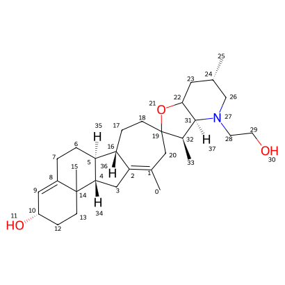 CC1=C2C[C@H]3[C@@H](CCC4=C[C@@H](O)CCC43C)[C@@H]2CCC2(C1)OC1C[C@H](C)CN(CCO)[C@H]1[C@H]2C